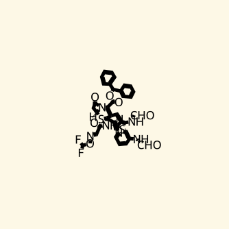 O=CNc1ccc[n+](C/C=C\C2=C(C(=O)OC(c3ccccc3)c3ccccc3)N3C(=O)C[C@@H]3SC2(NC(=O)C=NOC(F)F)c2csc(NC=O)n2)c1